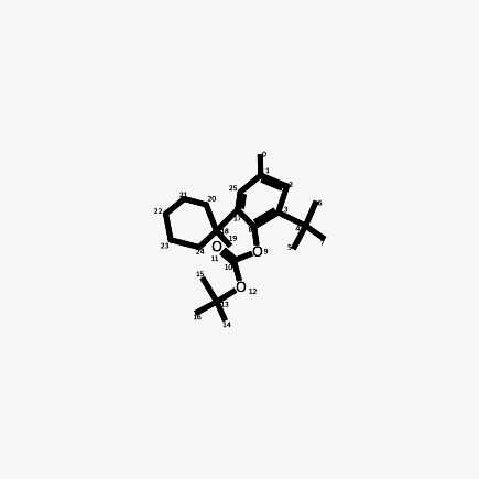 Cc1cc(C(C)(C)C)c(OC(=O)OC(C)(C)C)c(C2(C)CCCCC2)c1